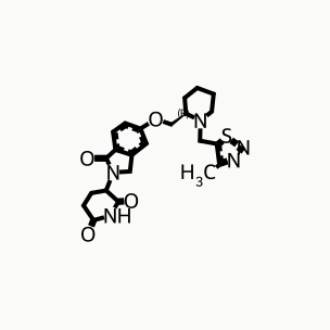 Cc1nnsc1CN1CCCC[C@@H]1COc1ccc2c(c1)CN(C1CCC(=O)NC1=O)C2=O